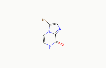 O=c1[nH]ccn2c(Br)cnc12